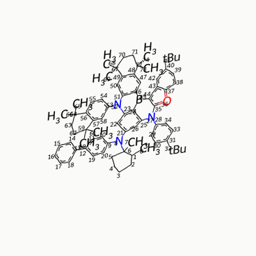 CC1CCCCC1(C)N(c1ccc(-c2ccccc2)cc1)c1cc2c3c(c1)N(c1ccc(C(C)(C)C)cc1)c1oc4ccc(C(C)(C)C)cc4c1B3c1cc3c(cc1N2c1ccc2c(c1)C(C)(C)CCC2(C)C)C(C)(C)CCC3(C)C